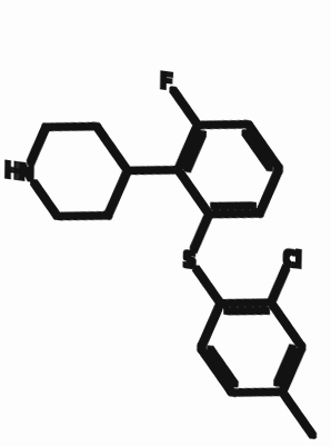 Cc1ccc(Sc2cccc(F)c2C2CCNCC2)c(Cl)c1